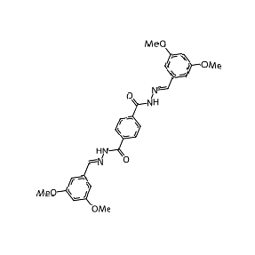 COc1cc(/C=N/NC(=O)c2ccc(C(=O)N/N=C/c3cc(OC)cc(OC)c3)cc2)cc(OC)c1